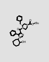 CC(C)(C)OC(=O)N1CCN(C(=O)c2ncn(C3CCCCCC3O)c2-c2ccccc2)[C@H](Cc2ccccc2)C1